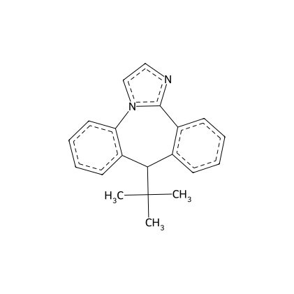 CC(C)(C)C1c2ccccc2-c2nccn2-c2ccccc21